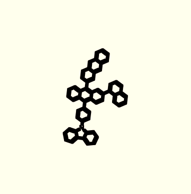 c1ccc2cc3cc(-c4c5ccccc5c(-c5ccc(-n6c7ccccc7c7ccccc76)cc5)c5ccc(-c6cccc7ccccc67)cc45)ccc3cc2c1